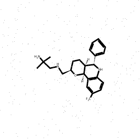 CC(C)(N)CNC[C@H]1CC[C@@H]2[C@H](O1)c1cc(C(F)(F)F)ccc1N[C@H]2c1ccccc1